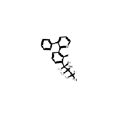 [2H]C([2H])([2H])C([2H])([2H])C([2H])([2H])c1cccc(-c2ncccc2-c2ccccc2)c1F